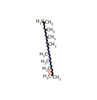 CC(C)=CCC/C(C)=C/C=C/C(C)=C/C=C/C(C)=C/C=C/C=C(C)/C=C/C=C(C)/C=C/C=C(\C)CC(=O)C=C(C)C